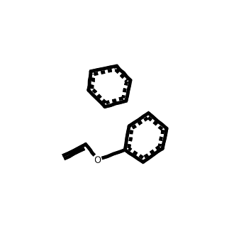 C=COc1ccccc1.c1ccccc1